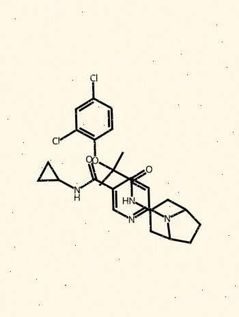 CC(C)(Oc1ccc(Cl)cc1Cl)C(=O)NC1CC2CCC(C1)N2c1ccc(C(=O)NC2CC2)cn1